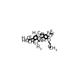 COCCOc1cc2c(N[C@H](C)c3cccc(C(F)(F)C(C)(C)O)c3F)nc(C)nc2cc1OC(F)(F)F